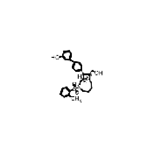 Cc1ccccc1S(=O)(=O)N1CCCCN2[C@H](CO)[C@@H](c3ccc(-c4cccc(O)c4)cc3)[C@@H]2C1